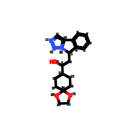 OC(CC1c2ccccc2-c2cnnn21)C1CCC2(CC1)OCCO2